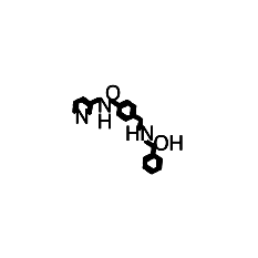 O=C(NCc1cccnc1)c1ccc(CCNCC(O)c2ccccc2)cc1